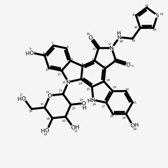 O=C1c2c(c3c4ccc(O)cc4n(C4OC(CO)C(O)C(O)C4O)c3c3[nH]c4cc(O)ccc4c23)C(=O)N1NCc1ccsc1